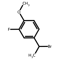 COc1ccc(C(C)Br)cc1F